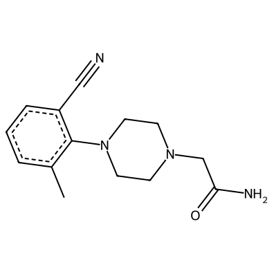 Cc1cccc(C#N)c1N1CCN(CC(N)=O)CC1